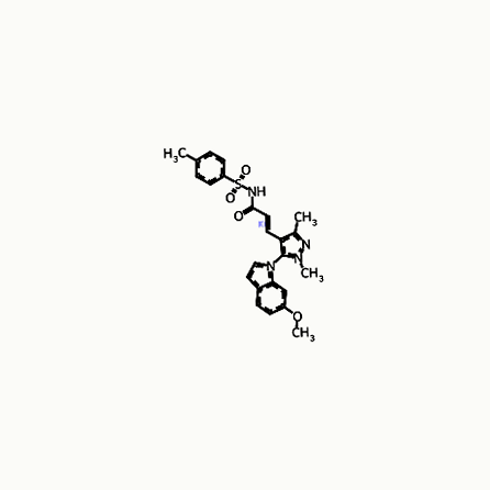 COc1ccc2ccn(-c3c(/C=C/C(=O)NS(=O)(=O)c4ccc(C)cc4)c(C)nn3C)c2c1